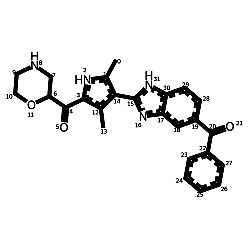 Cc1[nH]c(C(=O)C2CNCCO2)c(C)c1-c1nc2cc(C(=O)c3ccccc3)ccc2[nH]1